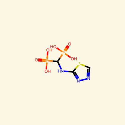 O=P(O)(O)C(Nc1nncs1)P(=O)(O)O